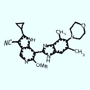 COc1ncc2c(C#N)c(C3CC3)[nH]c2c1-c1nc2c(C)c(N3CCOCC3)c(C)cc2[nH]1